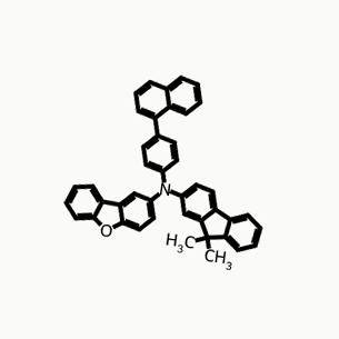 CC1(C)c2ccccc2-c2ccc(N(c3ccc(-c4cccc5ccccc45)cc3)c3ccc4oc5ccccc5c4c3)cc21